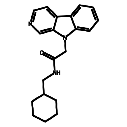 O=C(Cn1c2ccccc2c2ccncc21)NCC1CCCCC1